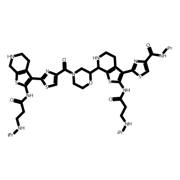 CC(C)NCCC(=O)Nc1sc2c(c1-c1nc(C(=O)N3CCOC(C4NCCc5c4sc(NC(=O)CCNC(C)C)c5-c4nc(C(=O)NC(C)C)cs4)C3)cs1)CCNC2